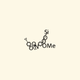 COc1cc(N2CCC(Oc3ccc(C4CC4)cc3)C2=O)ccc1OCOCC[Si](C)(C)C